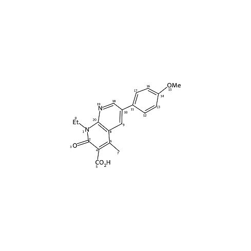 CCn1c(=O)c(C(=O)O)c(C)c2cc(-c3ccc(OC)cc3)cnc21